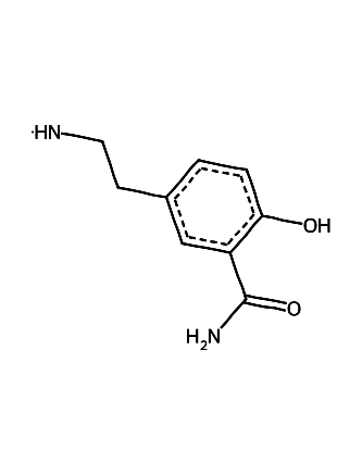 [NH]CCc1ccc(O)c(C(N)=O)c1